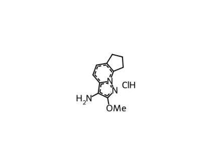 COc1nn2c3c(ccc2c1N)CCC3.Cl